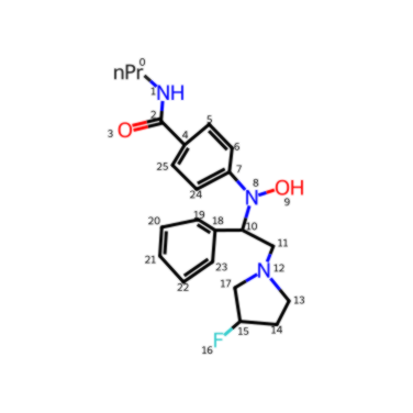 CCCNC(=O)c1ccc(N(O)C(CN2CCC(F)C2)c2ccccc2)cc1